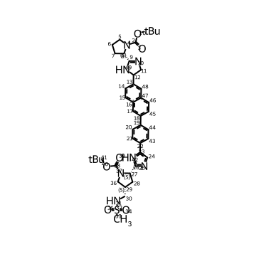 CC(C)(C)OC(=O)N1CCC[C@H]1C1=NCC(c2ccc3cc(-c4ccc(-c5cnc([C@@H]6C[C@H](CNS(C)(=O)=O)CN6C(=O)OC(C)(C)C)[nH]5)cc4)ccc3c2)N1